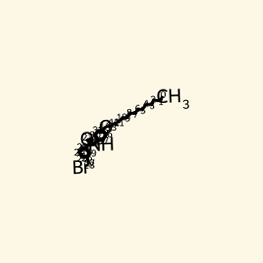 CCCCCCCCCCCCCCOc1ccc(NC(=O)c2cccc(CBr)c2)cc1